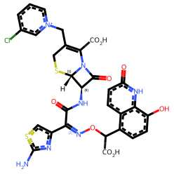 Nc1nc(/C(=N/OC(C(=O)O)c2ccc(O)c3[nH]c(=O)ccc23)C(=O)N[C@@H]2C(=O)N3C(C(=O)O)=C(C[n+]4cccc(Cl)c4)CS[C@@H]23)cs1